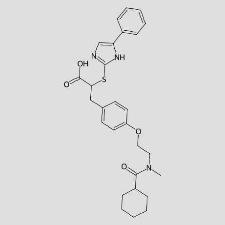 CN(CCOc1ccc(CC(Sc2ncc(-c3ccccc3)[nH]2)C(=O)O)cc1)C(=O)C1CCCCC1